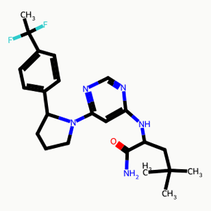 CC(C)(C)CC(Nc1cc(N2CCCC2c2ccc(C(C)(F)F)cc2)ncn1)C(N)=O